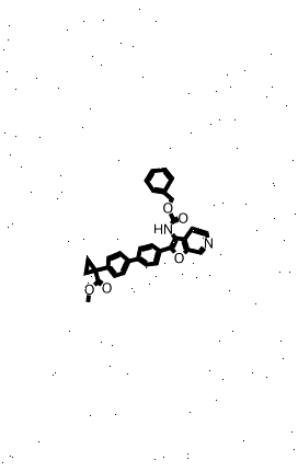 COC(=O)C1(c2ccc(-c3ccc(-c4oc5cnccc5c4NC(=O)OCc4ccccc4)cc3)cc2)CC1